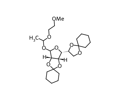 COCCOC(C)OC1O[C@H](C2COC3(CCCCC3)O2)[C@@H]2OC3(CCCCC3)O[C@H]12